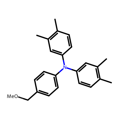 COCc1ccc(N(c2ccc(C)c(C)c2)c2ccc(C)c(C)c2)cc1